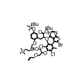 C=CCOCC(CO)Oc1c(Cl)c(C)c(-c2c(Br)sc3ncnc(OC(Cc4cc(O[Si](C)(C)C(C)(C)C)ccc4OCOCC[Si](C)(C)C)C(=O)OC(C)(C)C)c23)c(C)c1Cl